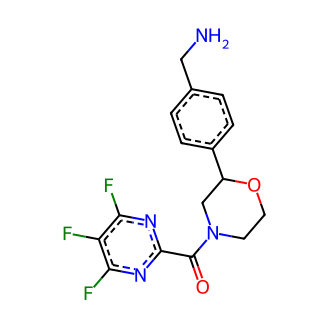 NCc1ccc(C2CN(C(=O)c3nc(F)c(F)c(F)n3)CCO2)cc1